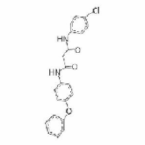 O=C(CC(=O)Nc1ccc(Oc2ccccc2)cc1)Nc1ccc(Cl)cc1